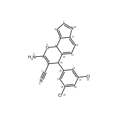 N#CC1=C(N)OC2C3=CC=NC3=CC=C2C1c1cc(Cl)cc(Cl)c1